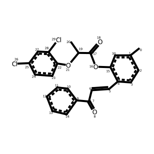 Cc1ccc(C=CC(=O)c2ccccc2)c(OC(=O)C(C)Oc2ccc(Cl)cc2Cl)c1